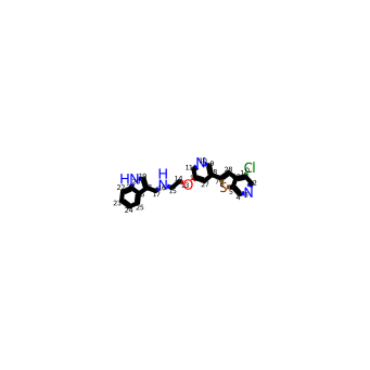 Clc1cncc2sc(-c3cncc(OCCNCc4c[nH]c5ccccc45)c3)cc12